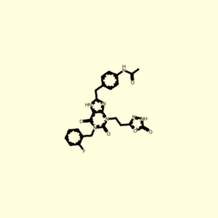 CC(=O)Nc1ccc(Cc2nc3c([nH]2)c(=O)n(Cc2ccccc2F)c(=O)n3CCc2n[nH]c(=O)o2)cc1